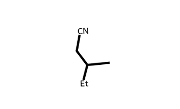 CCC(C)CC#N